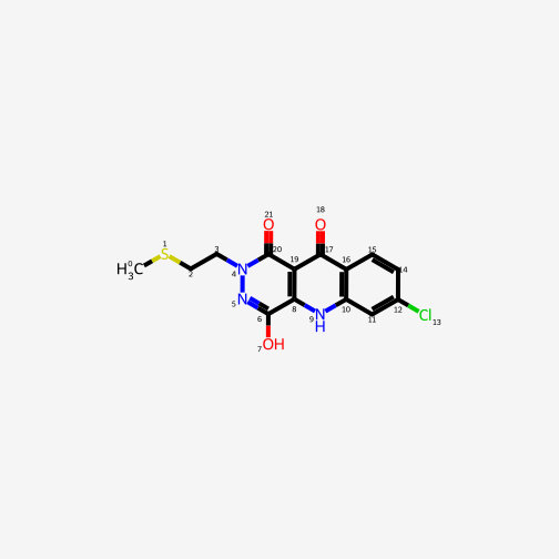 CSCCn1nc(O)c2[nH]c3cc(Cl)ccc3c(=O)c2c1=O